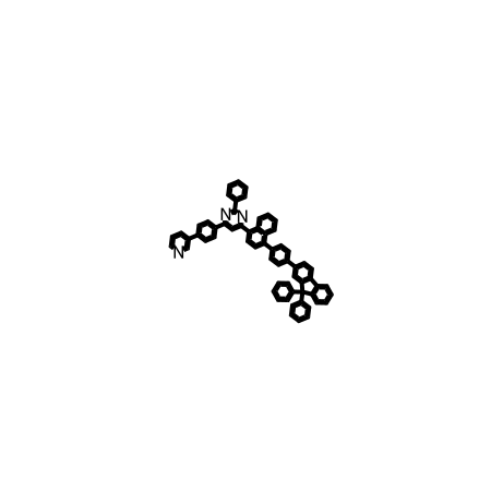 c1ccc(-c2nc(-c3ccc(-c4cccnc4)cc3)cc(-c3ccc(-c4ccc(-c5ccc6c(c5)C(c5ccccc5)(c5ccccc5)c5ccccc5-6)cc4)c4ccccc34)n2)cc1